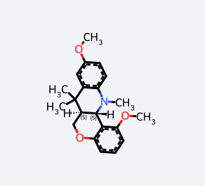 COc1ccc2c(c1)C(C)(C)[C@@H]1COc3cccc(OC)c3[C@H]1N2C